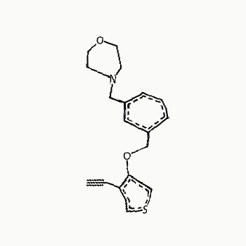 C#Cc1cscc1OCc1cccc(CN2CCOCC2)c1